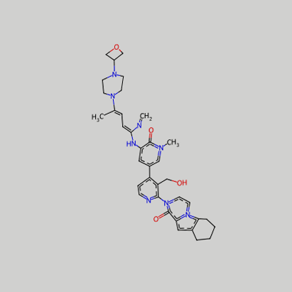 C=N/C(=C\C=C(/C)N1CCN(C2COC2)CC1)Nc1cc(-c2ccnc(-n3ccn4c5c(cc4c3=O)CCCC5)c2CO)cn(C)c1=O